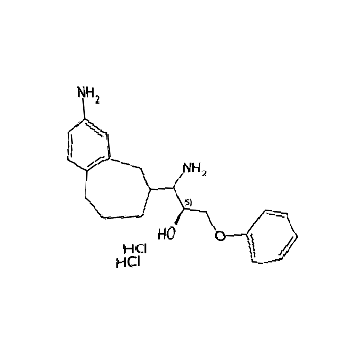 Cl.Cl.Nc1ccc2c(c1)CC(C(N)[C@H](O)COc1ccccc1)CCC2